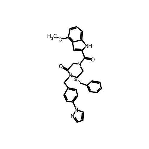 COc1cccc2[nH]c(C(=O)N3CC(=O)N(Cc4ccc(-n5cccn5)cc4)[C@@H](Cc4ccccc4)C3)cc12